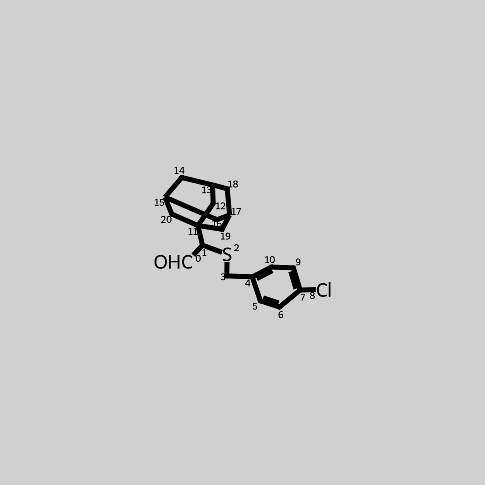 O=CC(SCc1ccc(Cl)cc1)C12CC3CC(CC(C3)C1)C2